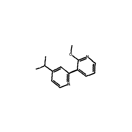 COc1ncccc1-c1cc(C(C)C)ccn1